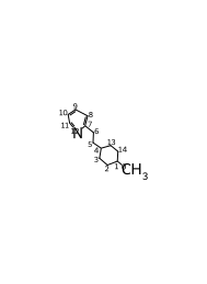 CC1CCC(CCc2ccccn2)CC1